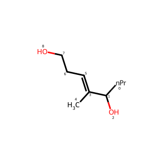 CCCC(O)C(C)=CCCO